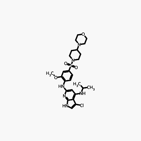 COc1cc(S(=O)(=O)N2CCC(N3CCOCC3)CC2)ccc1Nc1cc(NC(C)C)c2c(Cl)c[nH]c2n1